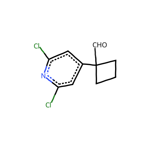 O=CC1(c2cc(Cl)nc(Cl)c2)CCC1